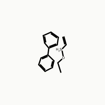 C=C[SiH2]OCC.c1ccc(-c2ccccc2)cc1